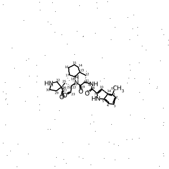 Cc1cccc2[nH]c(C(=O)N[C@@H](CC3CCCCC3)C(=O)N[C@H](C=O)C[C@@]3(C=O)CCNC3)cc12